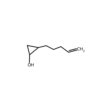 C=CCCCC1CC1O